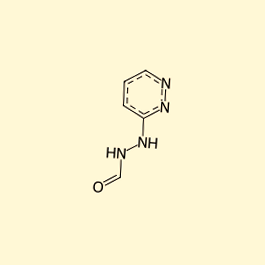 O=CNNc1cccnn1